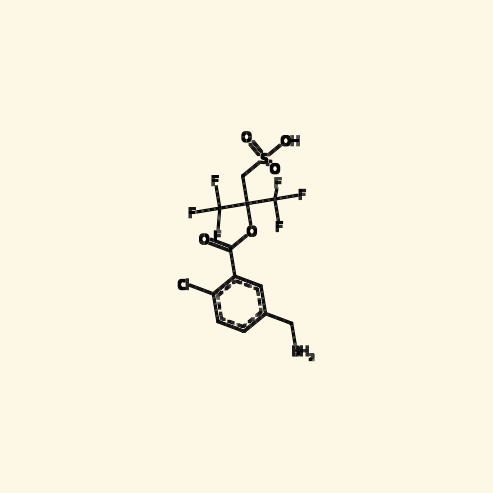 BCc1ccc(Cl)c(C(=O)OC(CS(=O)(=O)O)(C(F)(F)F)C(F)(F)F)c1